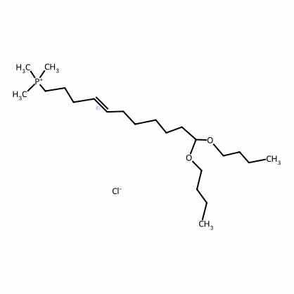 CCCCOC(CCCCC/C=C/CCC[P+](C)(C)C)OCCCC.[Cl-]